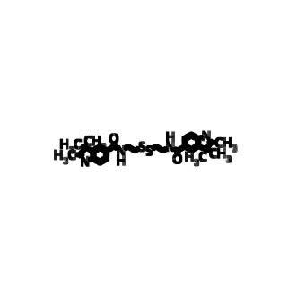 CC1=Nc2ccc(C(=O)NCCSSCCNC(=O)c3ccc4c(c3)C(C)(C)C(C)=N4)cc2C1(C)C